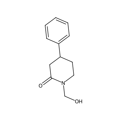 O=C1CC(c2ccccc2)CCN1CO